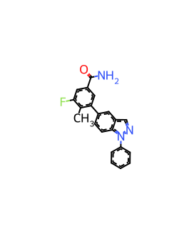 Cc1c(F)cc(C(N)=O)cc1-c1ccc2c(cnn2-c2ccccc2)c1